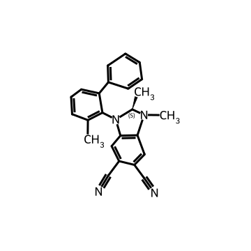 Cc1cccc(-c2ccccc2)c1N1c2cc(C#N)c(C#N)cc2N(C)[C@@H]1C